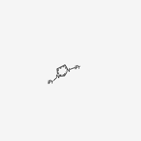 CC(C)n1cc[n+](C(C)C)c1